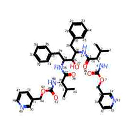 CC(C)[C@H](NC(=O)OCc1cccnc1)C(=O)NC(Cc1ccccc1)C(O)C(Cc1ccccc1)NC(=O)[C@@H](NC(=O)OCc1cccnc1)C(C)C